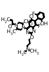 C=CC(=O)N1C[C@H](C)N(c2nc(OCCCN(C)C)nc3c(F)c(-c4c(O)cccc4F)c(Cl)cc23)C[C@H]1C